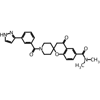 CN(C)C(=O)c1ccc2c(c1)C(=O)CC1(CCN(C(=O)c3cccc(-c4cc[nH]n4)c3)CC1)O2